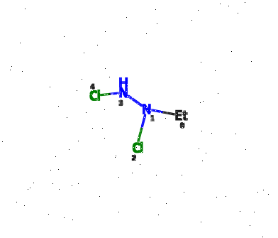 CCN(Cl)NCl